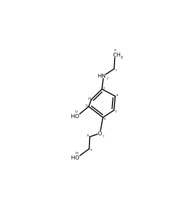 CCNc1ccc(OCCO)c(O)c1